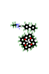 CC[NH2+]C(F)(F)C(F)(F)F.Fc1c(F)c(F)c(-c2c(F)c(F)c(F)c(F)c2F)c(F)c1F.Fc1cc2c([B-](c3c(F)c(F)c(F)c4c(F)c(F)c(F)cc34)(c3c(F)c(F)c(F)c4c(F)c(F)c(F)cc34)c3c(F)c(F)c(F)c4c(F)c(F)c(F)cc34)c(F)c(F)c(F)c2c(F)c1F